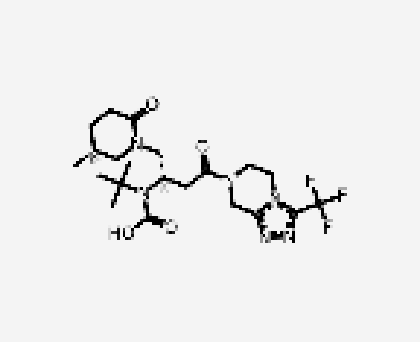 C[C@H]1CCC(=O)N(C[C@H](CC(=O)N2CCn3c(nnc3C(F)(F)F)C2)N(C(=O)O)C(C)(C)C)C1